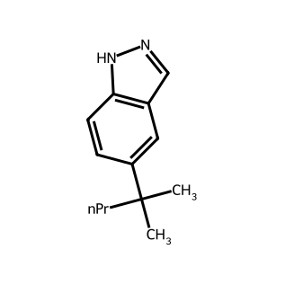 CCCC(C)(C)c1ccc2[nH]ncc2c1